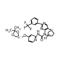 CC1(C)OC[C@@H](COc2ccnc(NC(=O)N3c4nc(-c5cccc(C(F)(F)F)c5)ncc4N4CC[C@H]3C4)c2)O1